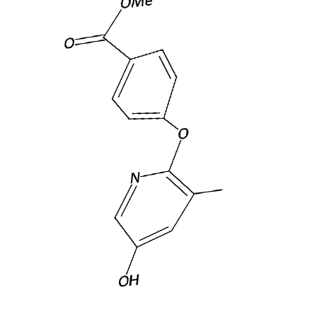 COC(=O)c1ccc(Oc2ncc(O)cc2C)cc1